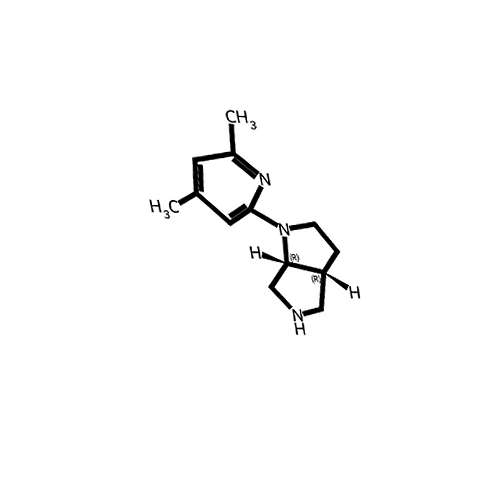 Cc1cc(C)nc(N2CC[C@@H]3CNC[C@@H]32)c1